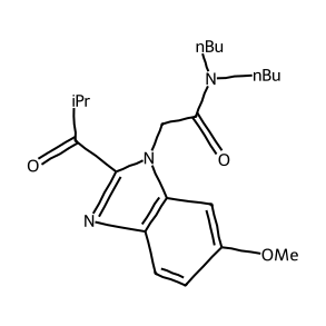 CCCCN(CCCC)C(=O)Cn1c(C(=O)C(C)C)nc2ccc(OC)cc21